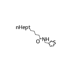 CCCCCCCCCCCC(=O)NCc1ccsc1